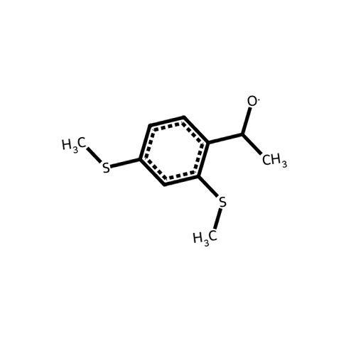 CSc1ccc(C(C)[O])c(SC)c1